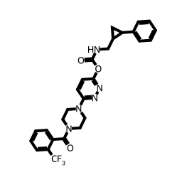 O=C(NCC1CC1c1ccccc1)Oc1ccc(N2CCN(C(=O)c3ccccc3C(F)(F)F)CC2)nn1